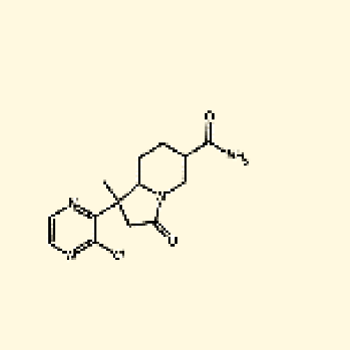 CC1(c2nccnc2Cl)CC(=O)N2CC(C(N)=O)CCC21